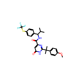 COc1ccc(C(C)(C)c2nc(C(=O)NC(c3ccc(SC(F)(F)F)cc3)C(C)C)cc(=O)[nH]2)cc1